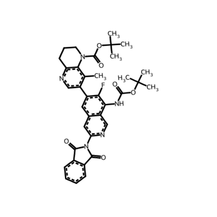 Cc1c(-c2cc3cc(N4C(=O)c5ccccc5C4=O)ncc3c(NC(=O)OC(C)(C)C)c2F)cnc2c1N(C(=O)OC(C)(C)C)CCC2